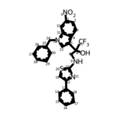 O=[N+]([O-])c1ccc2c(C(O)(CNc3nc(-c4ccccc4)cs3)C(F)(F)F)cn(Cc3ccccc3)c2c1